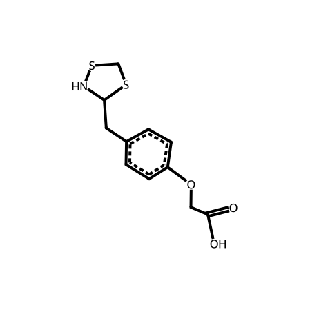 O=C(O)COc1ccc(CC2NSCS2)cc1